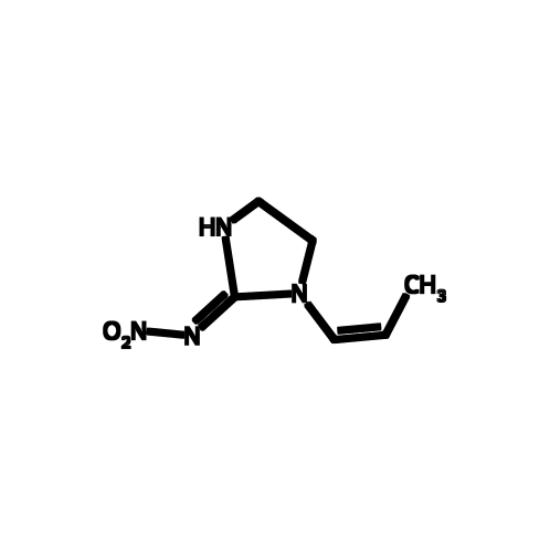 C/C=C\N1CCN/C1=N\[N+](=O)[O-]